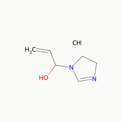 C=CC(O)N1C=NCC1.[CH]